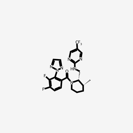 C[C@@H]1CCCN(C(=O)c2ccc(F)c(F)c2-n2nccn2)[C@@H]1CNc1ncc(C(F)(F)F)cn1